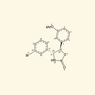 COc1cccc([C@H]2OC(=O)N[C@@H]2c2cccc(Br)c2)c1